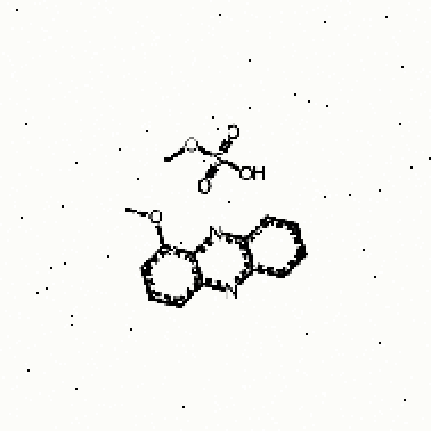 COS(=O)(=O)O.COc1cccc2nc3ccccc3nc12